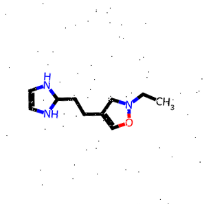 CCN1[C]C(CCC2NC=CN2)=CO1